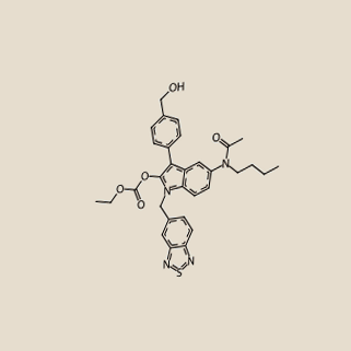 CCCCN(C(C)=O)c1ccc2c(c1)c(-c1ccc(CO)cc1)c(OC(=O)OCC)n2Cc1ccc2nsnc2c1